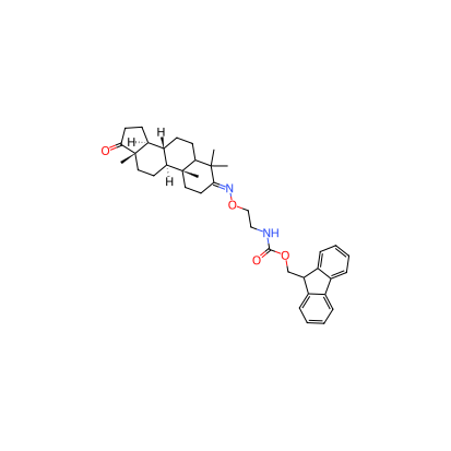 CC1(C)/C(=N/OCCNC(=O)OCC2c3ccccc3-c3ccccc32)CC[C@@]2(C)C1CC[C@@H]1[C@@H]2CC[C@]2(C)C(=O)CC[C@@H]12